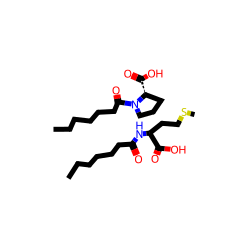 CCCCCCC(=O)N1CCC[C@H]1C(=O)O.CCCCCCC(=O)NC(CCSC)C(=O)O